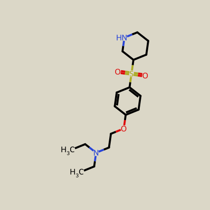 CCN(CC)CCOc1ccc(S(=O)(=O)C2CCCNC2)cc1